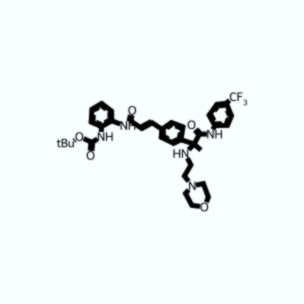 CC(C)(C)OC(=O)Nc1ccccc1NC(=O)C=Cc1ccc(C(C)(NCCN2CCOCC2)C(=O)Nc2ccc(C(F)(F)F)cc2)cc1